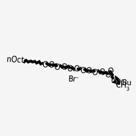 CCCCCCCCC=CCCCCCCCCOCCOCCOCCOCCOCCOCCOCCOCCOCCOCCOC(=O)CCN1CC[N+](C)(CCCC)CC1.[Br-]